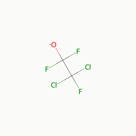 [O]C(F)(F)C(F)(Cl)Cl